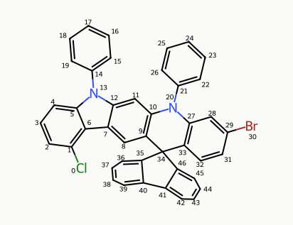 Clc1cccc2c1c1cc3c(cc1n2-c1ccccc1)N(c1ccccc1)c1cc(Br)ccc1C31c2ccccc2-c2ccccc21